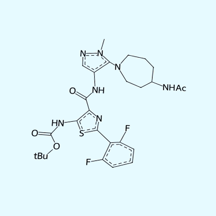 CC(=O)NC1CCCN(c2c(NC(=O)c3nc(-c4c(F)cccc4F)sc3NC(=O)OC(C)(C)C)cnn2C)CC1